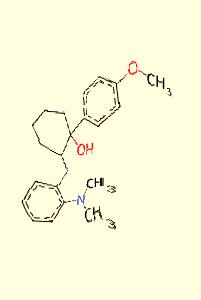 COc1ccc(C2(O)CCCCC2Cc2ccccc2N(C)C)cc1